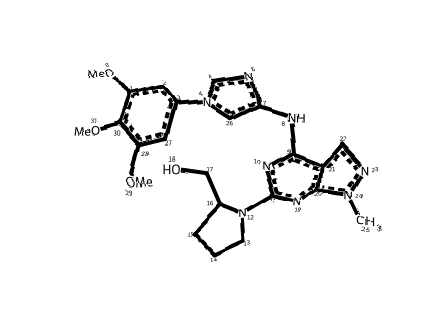 COc1cc(-n2cnc(Nc3nc(N4CCCC4CO)nc4c3cnn4C)c2)cc(OC)c1OC